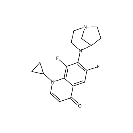 O=c1ccn(C2CC2)c2c(F)c(N3CCN4CCC3C4)c(F)cc12